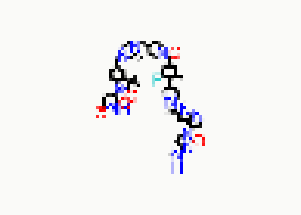 CNc1ccn(-c2ccnc3c2cc([C@H](C)N2CC=C(c4c(C)cc(C(=O)N5CCC(CN6CCN(Cc7ccc8c(c7)C7(CC7)C(=O)N8C7CCC(=O)NC7=O)C[C@@H]6C)CC5)cc4F)CC2)n3C)c(=O)n1